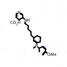 C=C(/C=C\C(C)N(C)C1=CC(CCCCCNC2C=NC=CC2C(=O)O)CCC1)OC